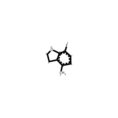 Cc1ccc(F)c2c1CCO2